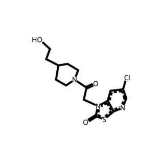 O=C(Cn1c(=O)sc2ncc(Cl)cc21)N1CCC(CCO)CC1